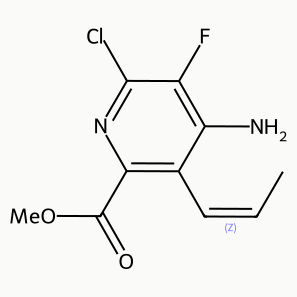 C/C=C\c1c(C(=O)OC)nc(Cl)c(F)c1N